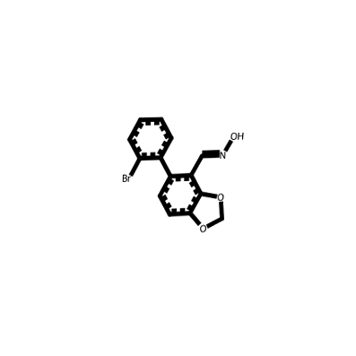 O/N=C/c1c(-c2ccccc2Br)ccc2c1OCO2